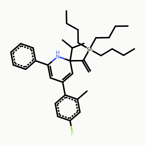 C=[C](C1(C(C)C)C=C(c2ccc(F)cc2C)C=C(c2ccccc2)N1)[Sn]([CH2]CCC)([CH2]CCC)[CH2]CCC